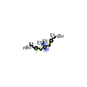 CCCCC(CC)CCc1ccc(-c2ccc(-c3c4nsnc4c(-c4ccc(-c5ccc(CCC(CC)CCCC)cc5F)s4)c4nc(CC)c(CC)nc34)s2)c(F)c1